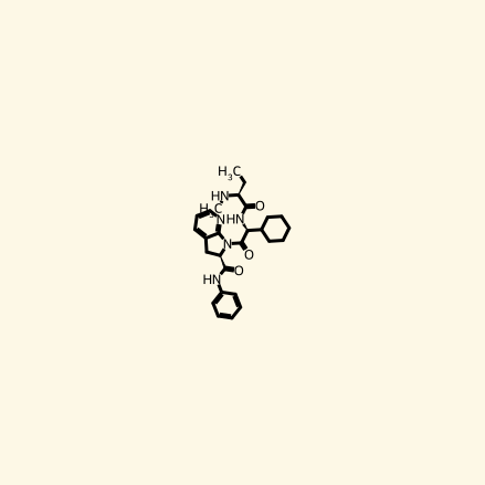 CC[C@H](NC)C(=O)N[C@H](C(=O)N1c2ncccc2C[C@@H]1C(=O)Nc1ccccc1)C1CCCCC1